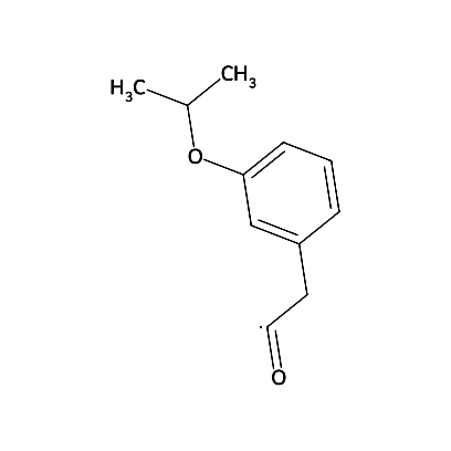 CC(C)Oc1cccc(C[C]=O)c1